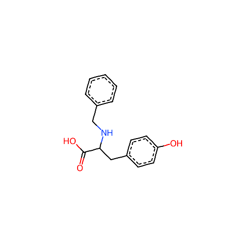 O=C(O)C(Cc1ccc(O)cc1)NCc1ccccc1